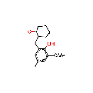 COc1cc(C)cc(CC2CCCCC2=O)c1O